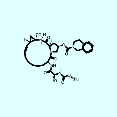 CC(C)C(NC(=O)OC(C)(C)C)C(=O)N[C@H]1CCCCCC=C[C@@H]2C[C@@]2(C(=O)O)NC(=O)[C@@H]2C[C@@H](OC(=O)N3CCc4ccccc4C3)CN2C1=O